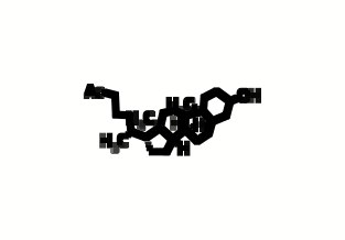 CC(=O)CCC[C@@H](C)[C@H]1CC[C@H]2[C@@H]3CC=C4CC(O)CC[C@]4(C)[C@H]3CC[C@]12C